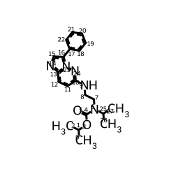 CC(C)OC(=O)N(CCNc1ccc2ncc(-c3ccccc3)n2n1)C(C)C